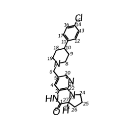 O=C1Nc2cc(CN3CCC(c4ccc(Cl)cc4)CC3)cnc2N2CCC[C@H]12